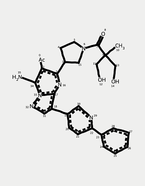 CC(=O)c1c(C2CCN(C(=O)C(C)(CO)CO)C2)nc2c(-c3ccc(-c4ccccc4)nc3)cnn2c1N